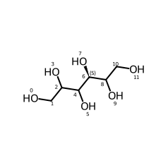 OCC(O)C(O)[C@@H](O)C(O)CO